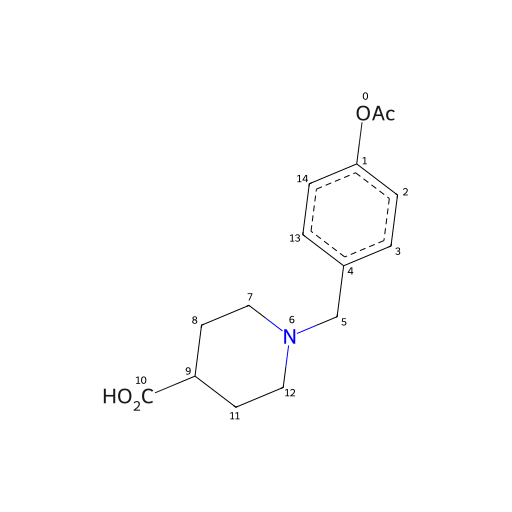 CC(=O)Oc1ccc(CN2CCC(C(=O)O)CC2)cc1